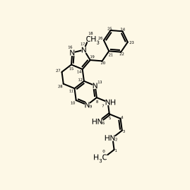 CCN/C=C\C(=N)Nc1ncc2c(n1)-c1c(nn(C)c1Cc1ccccc1)CC2